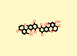 Cc1cc2c(c(O)c1-c1c(C)ccc3c1C(=O)C=CC3=O)C(=O)C(C1=CC(=O)c3cc(C)c(-c4c(C)cc(O)c5c4C(=O)C=CC5=O)c(O)c3C1=O)=CC2=O